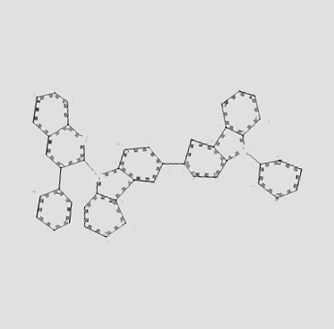 c1ccc(-c2cc3ccccc3nc2-n2c3ccccc3c3cc(-c4ccc5c(c4)c4ccccc4n5-c4ccccc4)ccc32)cc1